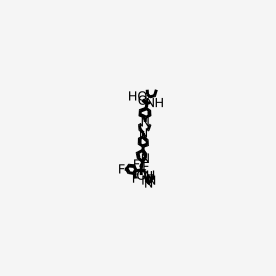 CCC(NC(=O)c1ccc(N2CCN(c3ccc(-c4ccc(C(F)(F)C(O)(Cn5cnnn5)c5ccc(F)cc5F)nc4)cc3)CC2)cc1)C(C)O